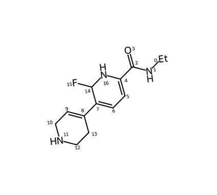 CCNC(=O)C1=CC=C(C2=CCNCC2)C(F)N1